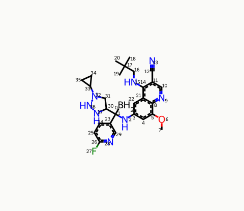 BC(Nc1cc(OC)c2ncc(C#N)c(NCC(C)(C)C)c2c1)(c1ccc(F)nc1)C1CN(C2CC2)NN1